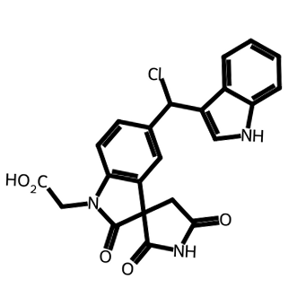 O=C(O)CN1C(=O)C2(CC(=O)NC2=O)c2cc(C(Cl)c3c[nH]c4ccccc34)ccc21